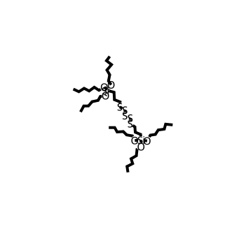 CCCCCCO[Si](CCCSSSSSCCC[Si](OCCCCCC)(OCCCCCC)OCCCCCC)(OCCCCCC)OCCCCCC